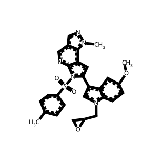 COc1ccc2c(c1)c(-c1cc3c4c(cnc3n1S(=O)(=O)c1ccc(C)cc1)cnn4C)cn2CC1CO1